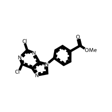 COC(=O)c1ccc(-n2cnc3c(Cl)nc(Cl)nc32)cc1